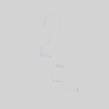 O=C(O)c1ccc(-c2ncc(C3CC=CC=C3Cl)o2)cc1